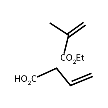 C=C(C)C(=O)OCC.C=CCC(=O)O